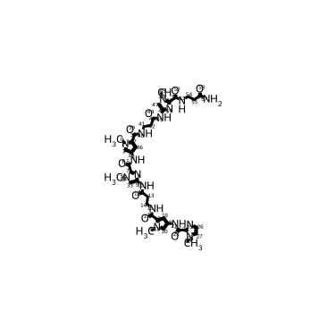 Cn1cc(NC(=O)c2nc(NC(=O)CCNC(=O)c3cc(NC(=O)c4nccn4C)cn3C)cn2C)cc1C(=O)NCCC(=O)Nc1cn(C)c(C(=O)NCCC(N)=O)n1